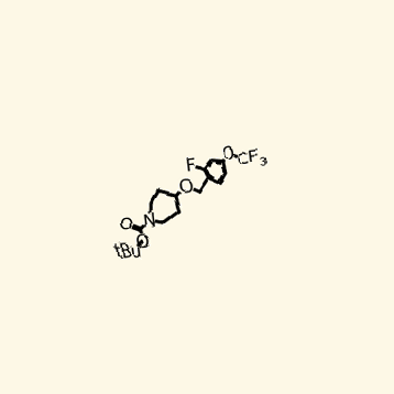 CC(C)(C)OC(=O)N1CCC(OCc2ccc(OC(F)(F)F)cc2F)CC1